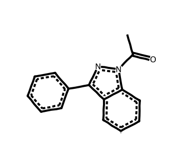 CC(=O)n1nc(-c2ccccc2)c2c[c]ccc21